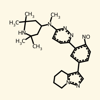 CN(c1ccc(-c2cc(-c3cnn4c3CCCC4)ccc2N=O)nn1)C1CC(C)(C)NC(C)(C)C1